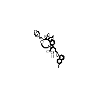 CCc1c2c(nn1C)[C@@H](CCN1CCOCC1)OCCCCn1c(C(=O)O)c(CCCOc3cccc4cc(F)ccc34)c3ccc(Cl)c-2c31